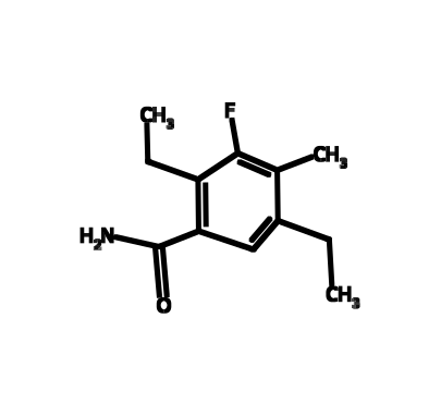 CCc1cc(C(N)=O)c(CC)c(F)c1C